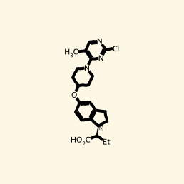 CCC(C(=O)O)[C@@H]1CCc2cc(OC3CCN(c4nc(Cl)ncc4C)CC3)ccc21